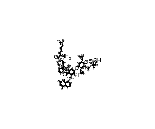 Cc1cc(C)c2cccc(OCc3c(Cl)ccc(S(=O)(=O)NC4(N5CCN(C(=O)C(N)CCCCN(C)C)CC5)CCCC4)c3Cl)c2n1.O=C(O)C(F)(F)F.O=C1C=C(N2CC2)C(=O)C(N2CC2)=C1N1CC1